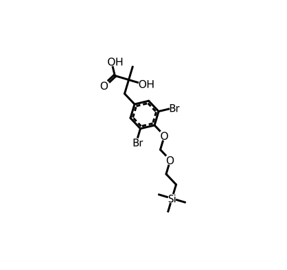 CC(O)(Cc1cc(Br)c(OCOCC[Si](C)(C)C)c(Br)c1)C(=O)O